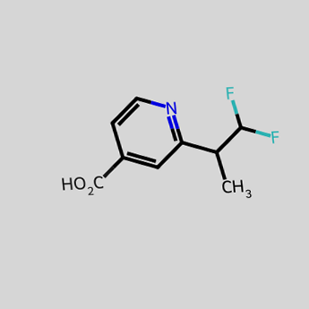 CC(c1cc(C(=O)O)ccn1)C(F)F